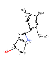 COc1cc(C(=O)O)c(-c2cc3cc(O)ccc3[nH]2)cc1OC